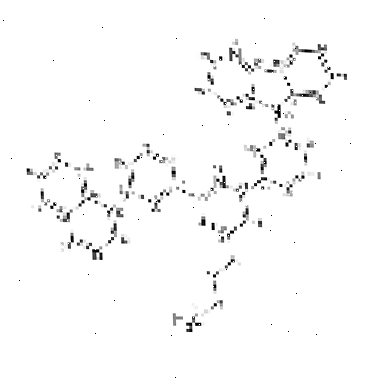 CCCCc1cc(-c2cccc(-c3cccc4ccccc34)c2)nc(-c2cccc(-n3c4ccccc4c4ncccc43)n2)c1